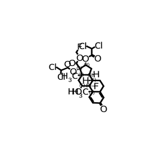 C[C@]12C=CC(=O)C=C1CC[C@H]1[C@@H]3C[C@@H](OC(=O)C(Cl)Cl)[C@](OC(=O)C(Cl)Cl)(C(=O)OCF)[C@@]3(C)C[C@H](O)[C@@]12F